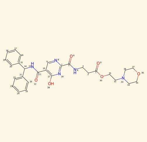 O=C(CCNC(=O)c1ncc(C(=O)NC(c2ccccc2)c2ccccc2)c(O)n1)OCCN1CCOCC1